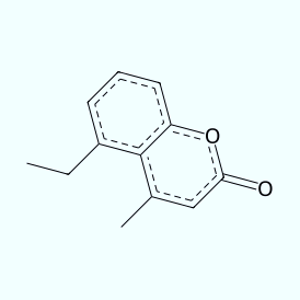 CCc1cccc2oc(=O)cc(C)c12